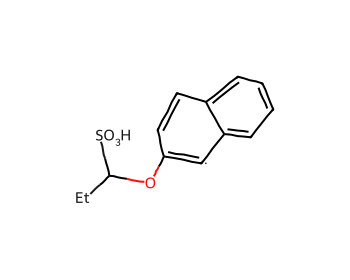 CCC(Oc1[c]c2ccccc2cc1)S(=O)(=O)O